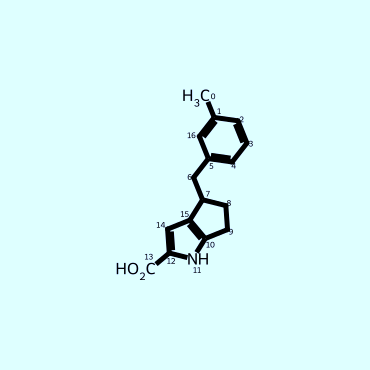 Cc1cccc(CC2CCc3[nH]c(C(=O)O)cc32)c1